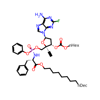 C#C[C@]1(CO[P@@](=O)(N[C@@H](Cc2ccccc2)C(=O)OCCCCCCCCCCCCCCCCCC)Oc2ccccc2)O[C@@H](n2cnc3c(N)nc(F)nc32)C[C@@H]1OC(=O)OCCCCCC